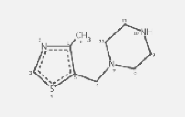 Cc1ncsc1CN1CCNCC1